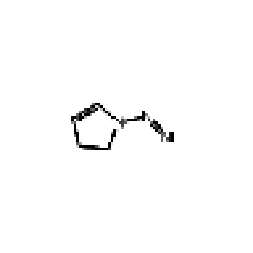 N=NN1C=CCC1